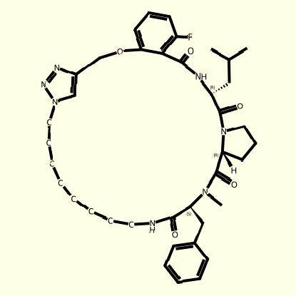 CC(C)C[C@H]1NC(=O)c2c(F)cccc2OCc2cn(nn2)CCCCCCCCNC(=O)[C@H](Cc2ccccc2)N(C)C(=O)[C@H]2CCCN2C1=O